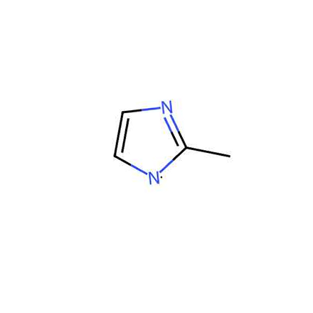 CC1=NC=C[N]1